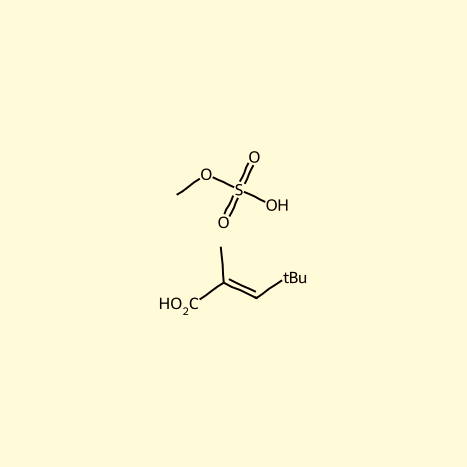 CC(=CC(C)(C)C)C(=O)O.COS(=O)(=O)O